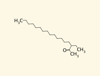 CCCCCCCCCCCCCCC(CC)C(C)=O